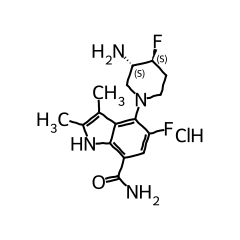 Cc1[nH]c2c(C(N)=O)cc(F)c(N3CC[C@H](F)[C@@H](N)C3)c2c1C.Cl